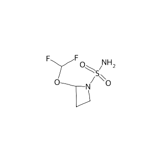 NS(=O)(=O)N1CCC1OC(F)F